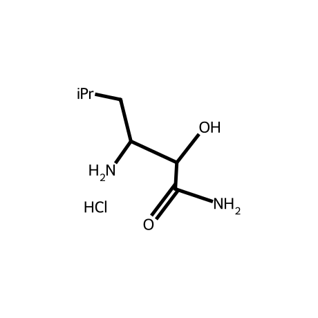 CC(C)CC(N)C(O)C(N)=O.Cl